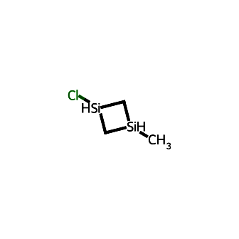 C[SiH]1C[SiH](Cl)C1